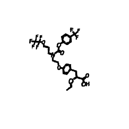 CCOC(Cc1ccc(OCCN(CCCOC(F)(F)C(F)(F)F)C(=O)Oc2ccc(C(F)(F)F)cc2)cc1)C(=O)O